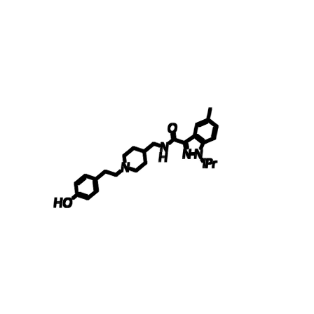 Cc1ccc2c(c1)c(C(=O)NCC1CCN(CCc3ccc(O)cc3)CC1)nn2C(C)C